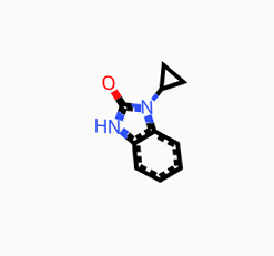 O=c1[nH]c2ccccc2n1C1CC1